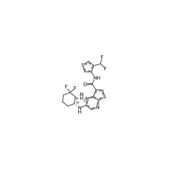 N[C@@H]1[C@H](Nc2cnc3scc(C(=O)Nc4cscc4C(F)F)c3n2)CCCC1(F)F